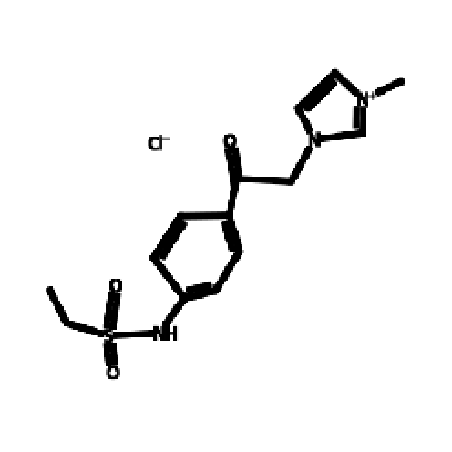 CCS(=O)(=O)Nc1ccc(C(=O)Cn2cc[n+](C)c2)cc1.[Cl-]